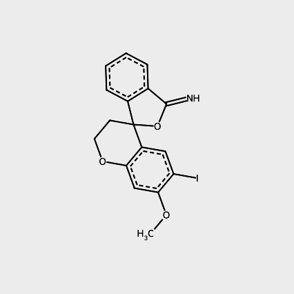 COc1cc2c(cc1I)C1(CCO2)OC(=N)c2ccccc21